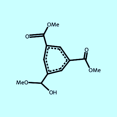 COC(=O)c1cc(C(=O)OC)cc(C(O)OC)c1